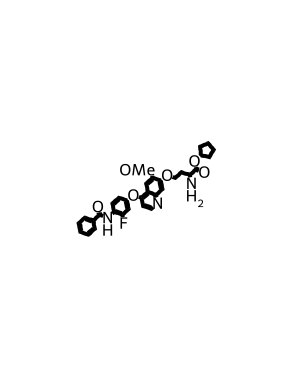 COc1cc2c(Oc3ccc(NC(=O)c4ccccc4)c(F)c3)ccnc2cc1OCCC(N)C(=O)OC1CCCC1